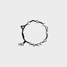 N=C1/C=C\C2CC2CCOCCOCCOCCSS1